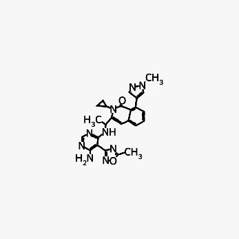 Cc1nc(-c2c(N)ncnc2NC(C)c2cc3cccc(-c4cnn(C)c4)c3c(=O)n2C2CC2)no1